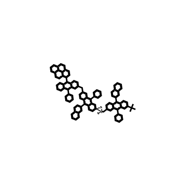 CC(C)(C)c1ccc2c(-c3ccc4ccccc4c3)c3ccc(C[Si](C)(C)c4ccc5c(-c6ccc7ccccc7c6)c6ccc(Cc7ccc8c(-c9ccc%10ccc%11cccc%12ccc9c%10c%11%12)c9ccccc9c(-c9ccccc9)c8c7)cc6c(-c6ccccc6)c5c4)cc3c(-c3ccccc3)c2c1